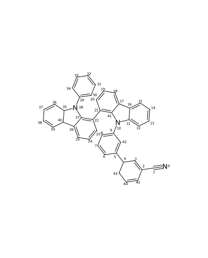 N#CC1=CC(c2cccc(-n3c4ccccc4c4cccc(-c5cccc6c5N(c5ccccc5)C5C=CC=CC65)c43)c2)CC=C1